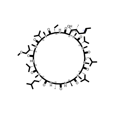 C/C=C/C[C@@H](C)[C@@H](O)[C@H]1C(=O)N[C@@H](CC)C(=O)N(C)[C@H](C(C)C)C(=O)N(C)[C@@H](C(C)COC)C(=O)N[C@@H](C(C)C)C(=O)N(C)[C@@H](CCC(C)C)C(=O)N[C@@H](C)C(=O)N[C@H](C)C(=O)N(C)[C@@H](CC(C)C)C(=O)N(C)[C@@H](CC(C)C)C(=O)N(C)[C@@H](C(C)C)C(=O)N1C